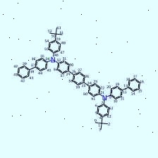 CC(C)(C)c1ccc(N(c2ccc(-c3ccccc3)cc2)c2ccc(-c3ccc(-c4ccc(N(c5ccc(-c6ccccc6)cc5)c5ccc(C(C)(C)C)cc5)cc4)cc3)cc2)cc1